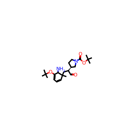 CC(C)(C)OC(=O)N1CC[C@H](C(C=O)CC2(C)C=CC=C(OC(C)(C)C)C2N)C1